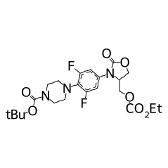 CCOC(=O)OCC1COC(=O)N1c1cc(F)c(N2CCN(C(=O)OC(C)(C)C)CC2)c(F)c1